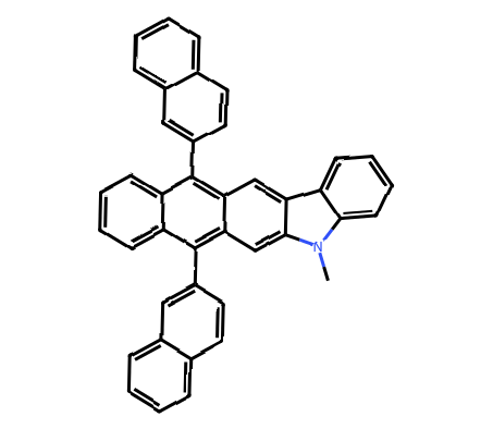 Cn1c2ccccc2c2cc3c(-c4ccc5ccccc5c4)c4ccccc4c(-c4ccc5ccccc5c4)c3cc21